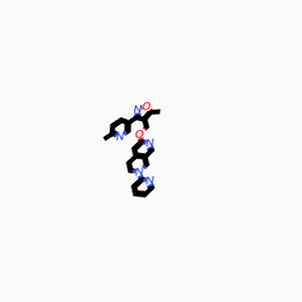 Cc1ccc(-c2noc(C)c2COc2cc3c(cn2)CN(c2ccccn2)CC3)cn1